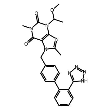 COC(C)n1c(=O)n(C)c(=O)c2c1nc(C)n2Cc1ccc(-c2ccccc2-c2nnn[nH]2)cc1